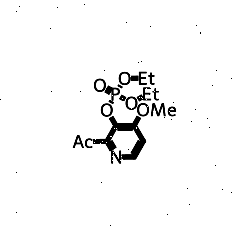 CCOP(=O)(OCC)Oc1c(OC)ccnc1C(C)=O